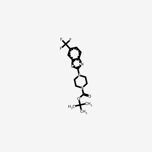 CC(C)(C)OC(=O)N1CCN(c2nc3ccc(C(F)(F)F)cc3s2)CC1